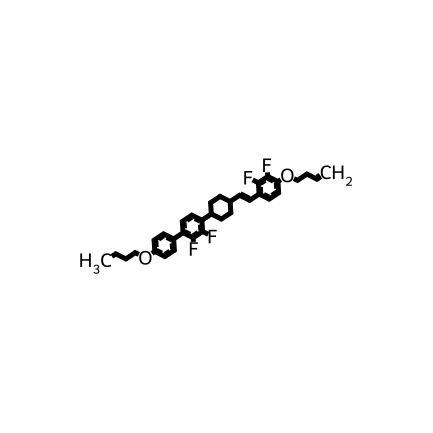 C=CCCOc1ccc(/C=C/C2CCC(c3ccc(-c4ccc(OCCCC)cc4)c(F)c3F)CC2)c(F)c1F